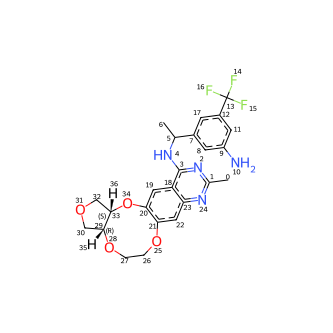 Cc1nc(NC(C)c2cc(N)cc(C(F)(F)F)c2)c2cc3c(cc2n1)OCCO[C@@H]1COC[C@@H]1O3